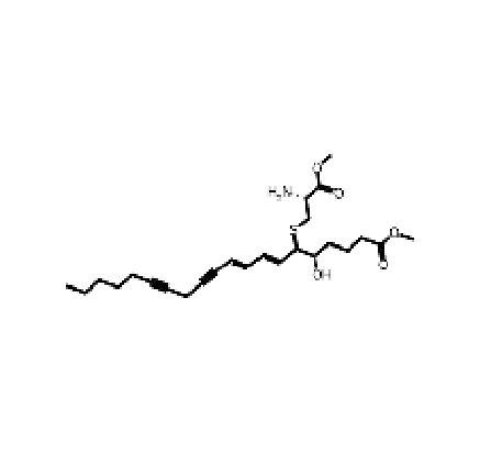 CCCCCC#CCC#C/C=C/C=C/C(SC[C@H](N)C(=O)OC)C(O)CCCC(=O)OC